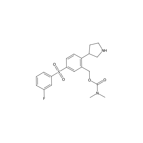 CN(C)C(=O)OCc1cc(S(=O)(=O)c2cccc(F)c2)ccc1C1CCNC1